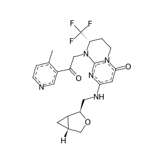 Cc1ccncc1C(=O)CN1c2nc(NC[C@H]3OC[C@@H]4CC43)cc(=O)n2CC[C@H]1C(F)(F)F